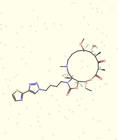 B[C@@H]1[C@@H](C)C(=O)[C@@H](C)C(=O)O[C@H](CC)[C@@]2(C)OC(=O)N(CCCCn3cc(-c4nccs4)nn3)[C@@H]2[C@H](C)N(C)CCC[C@@]1(C)OC